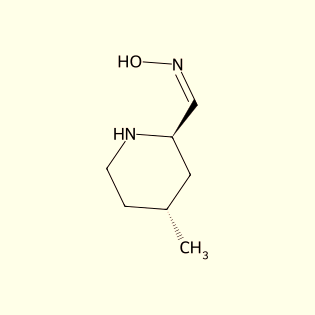 C[C@@H]1CCN[C@@H](/C=N\O)C1